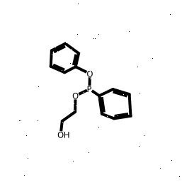 OCCOP(Oc1ccccc1)c1ccccc1